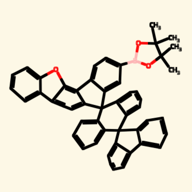 CC1(C)OB(c2ccc3c(c2)C2(c4ccccc4C4(c5ccccc5-c5ccccc54)c4ccccc42)c2ccc4c(oc5ccccc54)c2-3)OC1(C)C